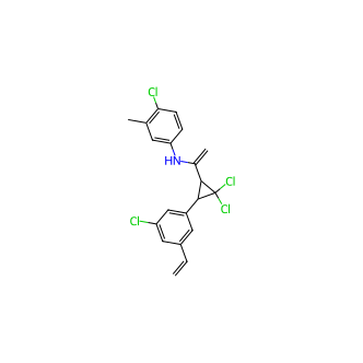 C=Cc1cc(Cl)cc(C2C(C(=C)Nc3ccc(Cl)c(C)c3)C2(Cl)Cl)c1